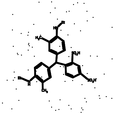 CCNc1ccc(C(c2ccc(NCC)c(C)c2)c2ccc(S(=O)(=O)O)cc2S(=O)(=O)O)cc1C